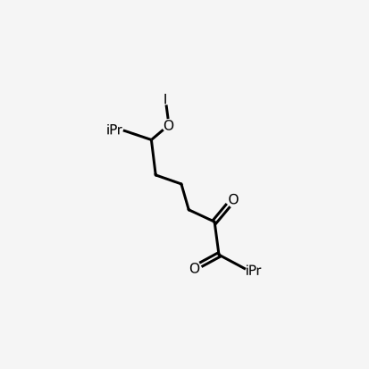 CC(C)C(=O)C(=O)CCCC(OI)C(C)C